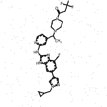 CC(c1ccnc(Nc2nc3c(F)cc(-c4cnn(CC5CC5)c4)cc3[nH]2)c1)N1CCN(C(=O)CC(F)(F)F)CC1